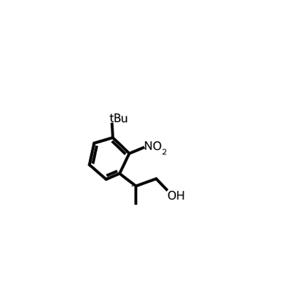 C[C](CO)c1cccc(C(C)(C)C)c1[N+](=O)[O-]